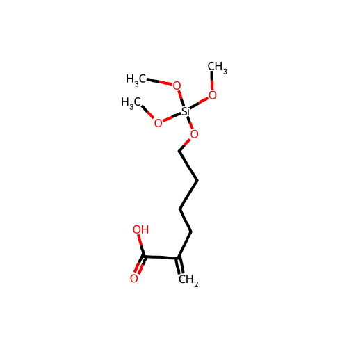 C=C(CCCCO[Si](OC)(OC)OC)C(=O)O